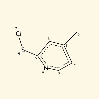 Cc1ccnc(SCl)c1